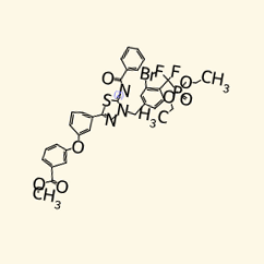 CCOP(=O)(OCC)C(F)(F)c1ccc(Cn2nc(-c3cccc(Oc4cccc(C(=O)OC)c4)c3)s/c2=N\C(=O)c2ccccc2)cc1Br